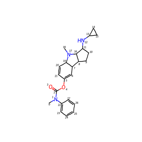 CN(C(=O)OC1=CC2C3CCC(NC4CC4)C3N(C)C2C=C1)c1ccccc1